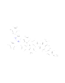 N#Cc1ccc(-c2ccc(-c3ccc4c(c3)C(c3ccccc3)(c3ccccc3)c3cc(-c5cc(-c6ccccc6)nc(-c6ccccc6)n5)ccc3-4)c3ccccc23)cc1